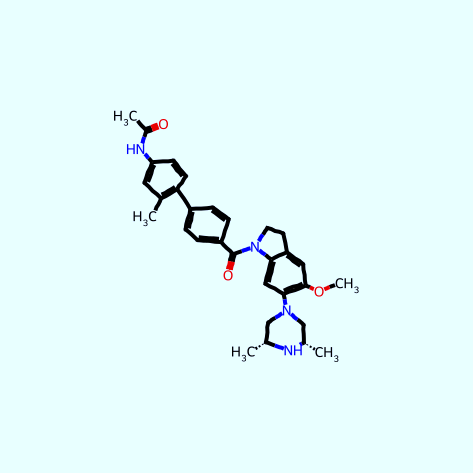 COc1cc2c(cc1N1C[C@@H](C)N[C@@H](C)C1)N(C(=O)c1ccc(-c3ccc(NC(C)=O)cc3C)cc1)CC2